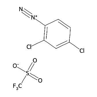 N#[N+]c1ccc(Cl)cc1Cl.O=S(=O)([O-])C(F)(F)F